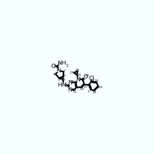 NC(=O)N1CC2C(C1)C2Nc1ncc2cc(-c3ccccc3Cl)c(=O)n(C3CC3)c2n1